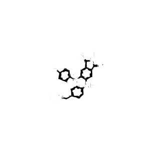 NCc1ccc(Nc2cc3c(cc2Nc2ccc(F)cc2)C(=O)NC3=O)cc1